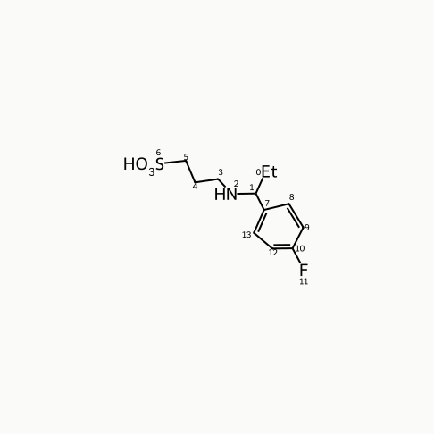 CCC(NCCCS(=O)(=O)O)c1ccc(F)cc1